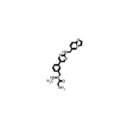 CNN(Cc1cccc(-c2cnc(NCc3ccc4nccn4c3)nc2)c1)C(=O)CN